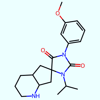 COc1cccc(N2C(=O)N(C(C)C)C3(CC4CCCNC4C3)C2=O)c1